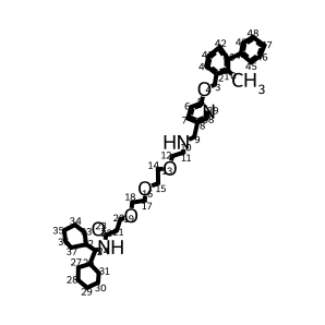 Cc1c(COc2ccc(CNCCOCCOCCOCCC(=O)NC(C3CCCCC3)C3CCCCC3)cn2)cccc1-c1ccccc1